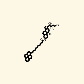 CC(C)CCC[C@@H](C)[C@H]1CCC2C3CC=C4CC(OC(=O)CCCCCCCCCc5ccc6ccc7cccc8ccc5c6c78)CC[C@]4(C)C3CC[C@@]21C